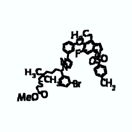 C=Cc1c(Oc2cccc(-c3ccn(C(CCCC(C)(C)CSCC(=O)OC)c4cccc(Br)c4)n3)c2)c(F)cc2c1ccn2S(=O)(=O)c1ccc(C)cc1